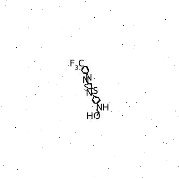 OCCNc1ccc(-c2nc3sc(N=Nc4ccc(C(F)(F)F)cc4)cc3s2)cc1